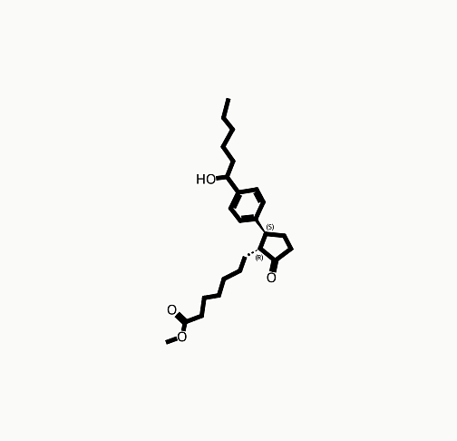 CCCCCC(O)c1ccc([C@H]2CCC(=O)[C@@H]2CCCCCCC(=O)OC)cc1